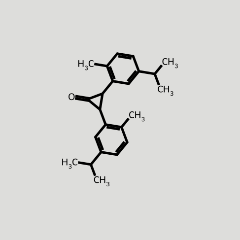 Cc1ccc(C(C)C)cc1C1C(=O)C1c1cc(C(C)C)ccc1C